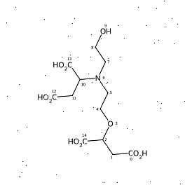 O=C(O)CC(OCCN(CCO)C(CC(=O)O)C(=O)O)C(=O)O